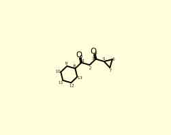 O=C(CC(=O)C1CC1)C1CCCCC1